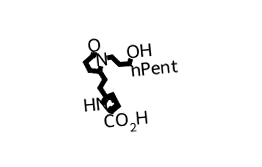 CCCCC[C@@H](O)CCN1C(=O)CCC1CCc1ccc(C(=O)O)[nH]1